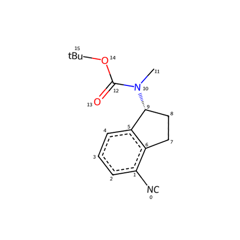 [C-]#[N+]c1cccc2c1CC[C@H]2N(C)C(=O)OC(C)(C)C